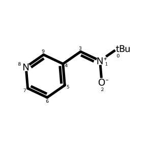 CC(C)(C)[N+]([O-])=Cc1cccnc1